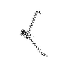 CCCCCCCCCCCCCCCCCC(=O)C(C)(C(=O)CCCCCCCCCCCCCCCCC)C(O)COS(=O)(=O)OC